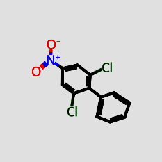 O=[N+]([O-])c1cc(Cl)c(-c2ccccc2)c(Cl)c1